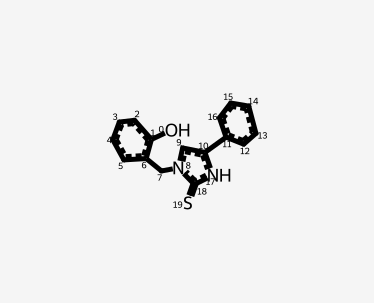 Oc1ccccc1Cn1cc(-c2ccccc2)[nH]c1=S